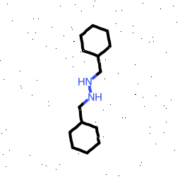 C1CCC(CNNCC2CCCCC2)CC1